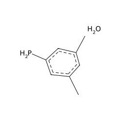 Cc1cc(C)cc(P)c1.O